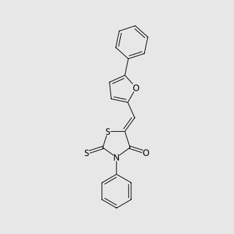 O=C1C(=Cc2ccc(-c3ccccc3)o2)SC(=S)N1c1ccccc1